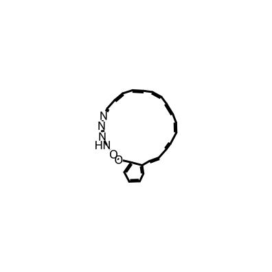 c1cccccccnnn[nH]ooc2ccccc2ccccccc1